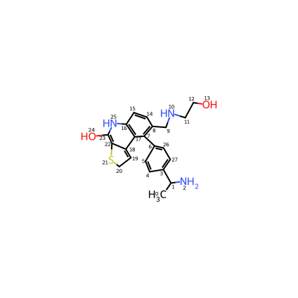 CC(N)c1ccc(-c2c(CNCCO)ccc3c2C2=CCSC2=C(O)N3)cc1